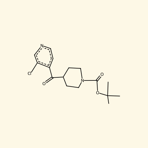 CC(C)(C)OC(=O)N1CCC(C(=O)c2ccncc2Cl)CC1